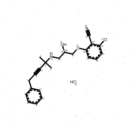 CC(C)(C#CCc1ccccc1)NC[C@@H](O)COc1cccc(Cl)c1C#N.Cl